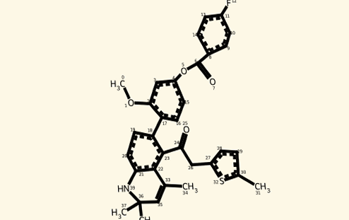 COc1cc(OC(=O)c2ccc(F)cc2)ccc1-c1ccc2c(c1C(=O)Cc1ccc(C)s1)C(C)=CC(C)(C)N2